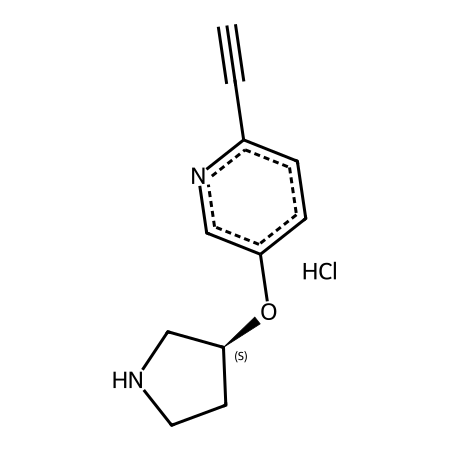 C#Cc1ccc(O[C@H]2CCNC2)cn1.Cl